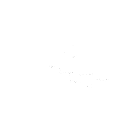 CCOC(=O)[C@H](CCc1ccccc1)NC(C)C(=O)O.O=C(O)[C@@H]1CCCN1